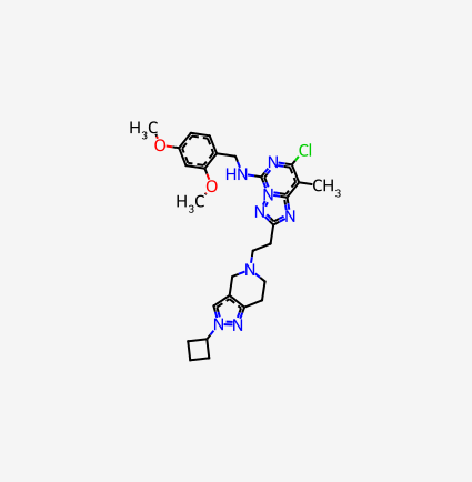 COc1ccc(CNc2nc(Cl)c(C)c3nc(CCN4CCc5nn(C6CCC6)cc5C4)nn23)c(OC)c1